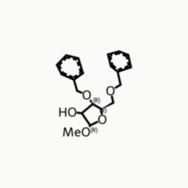 CO[C@@H]1O[C@H](COCc2ccccc2)[C@H](OCc2ccccc2)C1O